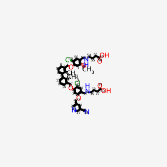 COc1cc(OCc2cccc(-c3cccc(COc4cc(OCc5cncc(C#N)c5)c(CNCCCC(=O)O)cc4Cl)c3C)c2C)c(Cl)cc1CNCCCC(=O)O